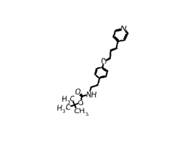 CC(C)(C)OC(=O)NCCc1ccc(OCCCc2ccncc2)cc1